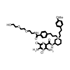 COc1ccc(CCC[N+]2(CCCc3ccc(C(=O)NCCOCCOCCO)cc3)CCCC(NC(=O)c3nc(Cl)c(N)nc3N)C2)cc1.[Cl-]